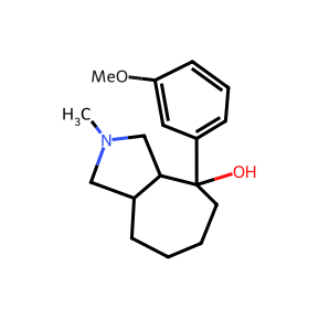 COc1cccc(C2(O)CCCCC3CN(C)CC32)c1